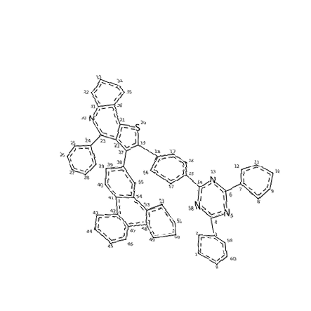 c1ccc(-c2nc(-c3ccccc3)nc(-c3ccc(-c4sc5c(c(-c6ccccc6)nc6ccccc65)c4-c4ccc5c6ccccc6c6ccccc6c5c4)cc3)n2)cc1